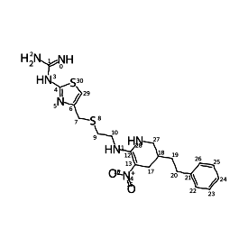 N=C(N)Nc1nc(CSCCNC2=C([N+](=O)[O-])CC(CCc3ccccc3)CN2)cs1